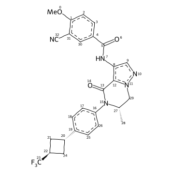 COc1ccc(C(=O)Nc2cnn3c2C(=O)N(c2ccc([C@H]4C[C@H](C(F)(F)F)C4)cc2)[C@@H](C)C3)cc1C#N